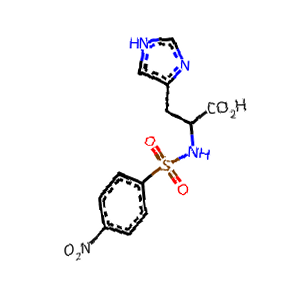 O=C(O)C(Cc1c[nH]cn1)NS(=O)(=O)c1ccc([N+](=O)[O-])cc1